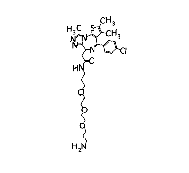 Cc1sc2c(c1C)C(c1ccc(Cl)cc1)=NC(CC(=O)NCCCOCCOCCOCCCN)c1nnc(C)n1-2